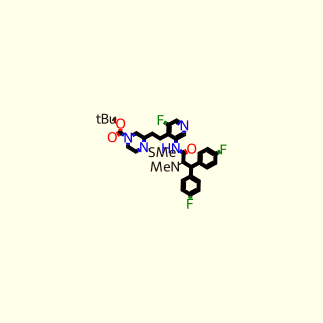 CN[C@H](C(=O)Nc1cncc(F)c1CCC1CN(C(=O)OC(C)(C)C)CCN1SC)C(c1ccc(F)cc1)c1ccc(F)cc1